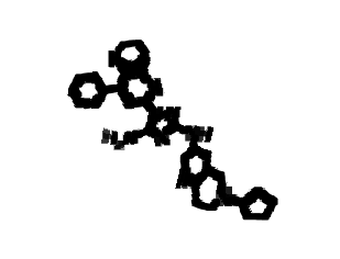 Nc1nc(Nc2cnc3c(c2)CN(C2CCCC2)CC3)nn1-c1cc(-c2ccccc2)c2c(n1)C1CCN2CC1